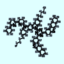 CCCCCc1ccc2c(c1)c1cc3c(cc1n2-c1cccc(-c2cccc(-c4ccccc4)n2)n1)c1cc(CCCCC)ccc1n3-c1nc(-c2ccc3sc4cc5ccccc5cc4c3c2)nc(-c2ccc3sc4cc5ccccc5cc4c3c2)n1